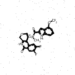 CN(C(=O)c1cc2c(OC(F)(F)F)cccc2[nH]1)[C@H]1COCc2[nH]c(=O)c3cc(F)c(F)cc3c21